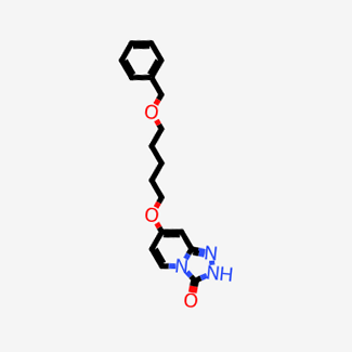 O=c1[nH]nc2cc(OCCCCCOCc3ccccc3)ccn12